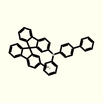 Bc1ccc2c(c1)C1(c3ccccc3-2)c2ccccc2-c2ccc(N(c3ccccc3)c3ccc(-c4ccccc4)cc3)cc21